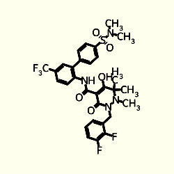 CN1N(Cc2cccc(F)c2F)C(=O)C(C(=O)Nc2ccc(C(F)(F)F)cc2-c2ccc(S(=O)(=O)N(C)C)cc2)=C(O)C1(C)C